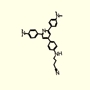 CN(C)c1ccc(-c2cc(-c3ccc(NCCCC#N)cc3)cc(-c3ccc(N(C)C)cc3)n2)cc1